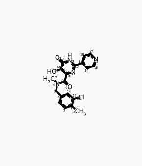 Cc1ccc(CN(C)C(=O)c2nc(-c3ccncc3)[nH]c(=O)c2O)cc1Cl